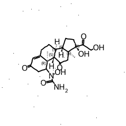 C[C@]12CC(=O)[C@H]3[C@@H](CCC4=CC(=O)CC(N(O)C(N)=O)[C@@]43C)[C@@H]1CC[C@]2(O)C(=O)CO